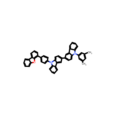 Cc1cc(C)cc(-n2c3ccccc3c3cc(-c4ccc5c(c4)c4ccccc4n5-c4ccc(-c5cccc6c5oc5ccccc56)cc4)ccc32)c1